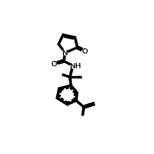 C=C(C)c1cccc(C(C)(C)NC(=O)N2CC=CC2=O)c1